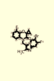 Cc1nc2cc(F)c(Br)cn2c1CN1C(=O)C2(CC2)Oc2c(F)cccc21